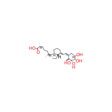 C=C1/C(=C\C=C2/CCC[C@]3(C)[C@@H]([C@H](C)CCC[C@@H](C)C(=O)O)CC[C@@H]23)C[C@@H](O)C(O)C1(O)O